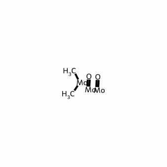 [CH3][Mo][CH3].[O]=[Mo].[O]=[Mo]